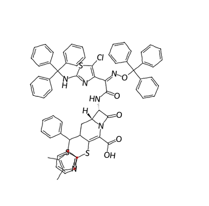 Cc1nc(SC2=C(C(=O)O)N3C(=O)[C@@H](NC(=O)/C(=N\OC(c4ccccc4)(c4ccccc4)c4ccccc4)c4nc(NC(c5ccccc5)(c5ccccc5)c5ccccc5)sc4Cl)[C@H]3CC2C(c2ccccc2)c2ccccc2)sc1C